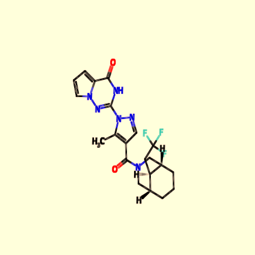 Cc1c(C(=O)N2C[C@H]3CCC[C@@H](C2)[C@@H]3CC(F)(F)F)cnn1-c1nn2cccc2c(=O)[nH]1